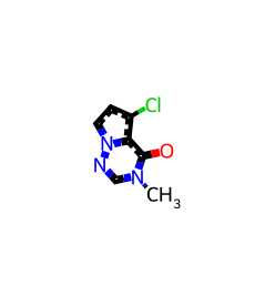 Cn1cnn2ccc(Cl)c2c1=O